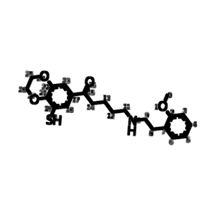 COc1ccccc1CCNCCCCC(=O)c1cc(S)c2c(c1)OCCO2